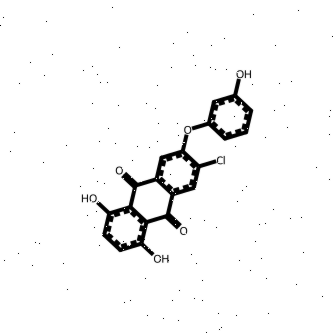 O=C1c2cc(Cl)c(Oc3cccc(O)c3)cc2C(=O)c2c(O)ccc(O)c21